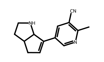 Cc1ncc(C2=CCC3CCNC23)cc1C#N